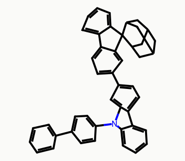 c1ccc(-c2ccc(-n3c4ccccc4c4ccc(-c5ccc6c(c5)C5(c7ccccc7-6)C6CC7CC(C6)CC5C7)cc43)cc2)cc1